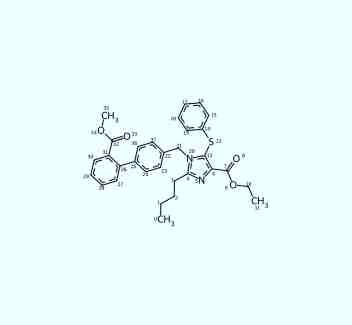 CCCCc1nc(C(=O)OCC)c(Sc2ccccc2)n1Cc1ccc(-c2ccccc2C(=O)OC)cc1